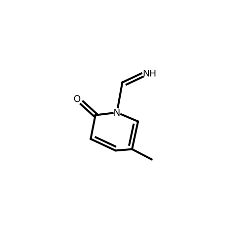 Cc1ccc(=O)n(C=N)c1